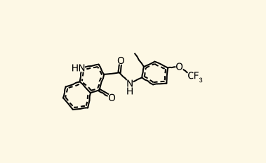 Cc1cc(OC(F)(F)F)ccc1NC(=O)c1c[nH]c2ccccc2c1=O